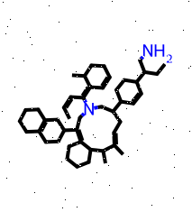 C/C=C\C(=C1\C=CCCC1C)N1C/C(C2CCC3=C(CCCC3)C2)=C2/CCCCC2C(C)/C(C)=C/CC(C2C=CC(C(CC)CN)CC2)C1